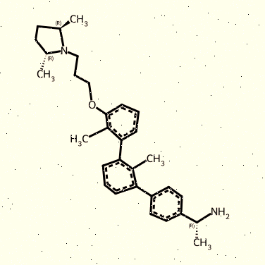 Cc1c(OCCCN2[C@H](C)CC[C@H]2C)cccc1-c1cccc(-c2ccc([C@@H](C)N)cc2)c1C